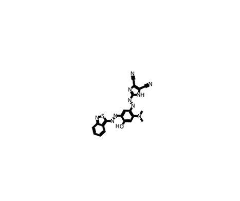 CN(C)c1cc(O)c(/N=N/c2snc3ccccc23)cc1/N=N/c1nc(C#N)c(C#N)[nH]1